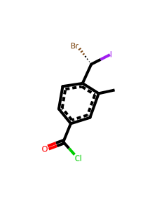 Cc1cc(C(=O)Cl)ccc1[C@H](Br)I